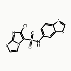 O=S(=O)(Nc1ccc2ncsc2c1)c1c(Cl)nc2sccn12